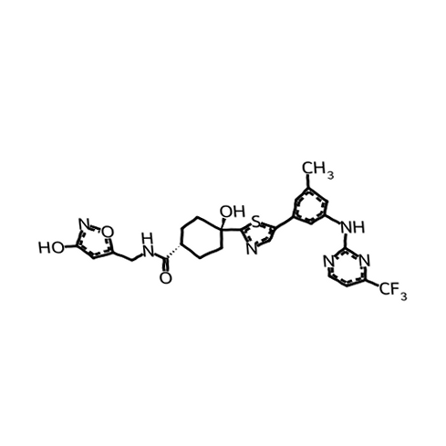 Cc1cc(Nc2nccc(C(F)(F)F)n2)cc(-c2cnc([C@]3(O)CC[C@H](C(=O)NCc4cc(O)no4)CC3)s2)c1